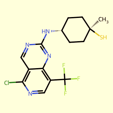 C[C@]1(S)CC[C@H](Nc2ncc3c(Cl)ncc(C(F)(F)F)c3n2)CC1